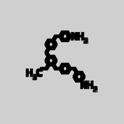 CCCc1cc(Cc2ccc(Cc3ccc(N)cc3)cc2)ccc1Cc1ccc(Cc2ccc(N)cc2)cc1